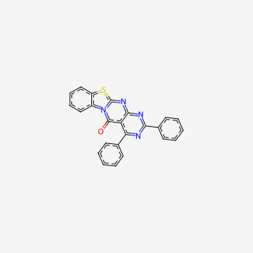 O=c1c2c(-c3ccccc3)nc(-c3ccccc3)nc2nc2sc3ccccc3n12